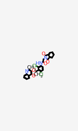 COc1c(OCc2c(Cl)ccc(NC(=O)CN3C(=O)c4ccccc4C3=O)c2Cl)c(C)nc2ccccc12